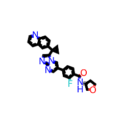 O=C(N[C@@H]1CCOC1)c1ccc(-c2cnc3ncc(C4(c5ccc6ncccc6c5)C=C4)n3c2)cc1F